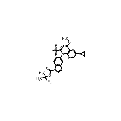 COC(=O)c1cc(C2CC2)cnc1N(C(=O)C(F)(F)F)c1ccc2c(ccn2C(=O)OC(C)(C)C)c1